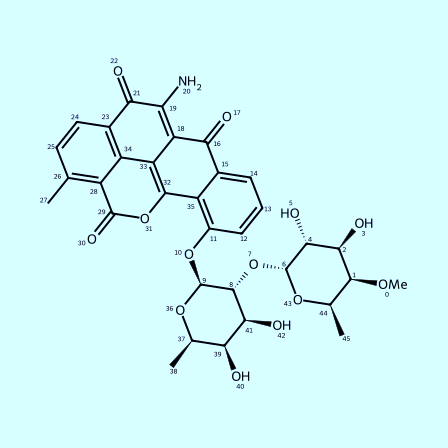 CO[C@@H]1[C@H](O)[C@@H](O)[C@@H](O[C@H]2[C@H](Oc3cccc4c(=O)c5c(N)c(=O)c6ccc(C)c7c(=O)oc(c-5c67)c34)O[C@H](C)[C@H](O)[C@@H]2O)O[C@@H]1C